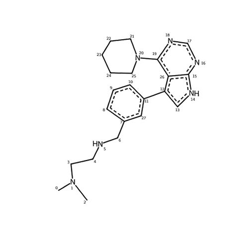 CN(C)CCNCc1cccc(-c2c[nH]c3ncnc(N4CCCCC4)c23)c1